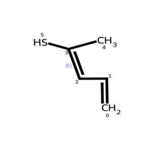 C=C/C=C(\C)S